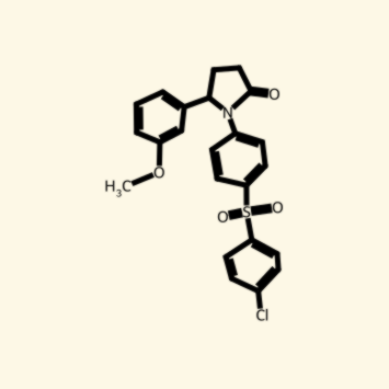 COc1cccc(C2CCC(=O)N2c2ccc(S(=O)(=O)c3ccc(Cl)cc3)cc2)c1